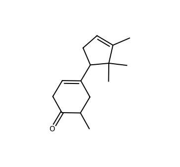 CC1=CCC(C2=CCC(=O)C(C)C2)C1(C)C